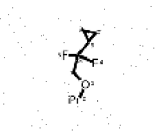 CC(C)OCC(F)(F)C1CC1